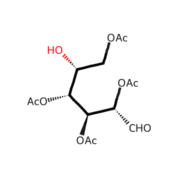 CC(=O)OC[C@@H](O)[C@@H](OC(C)=O)[C@H](OC(C)=O)[C@@H](C=O)OC(C)=O